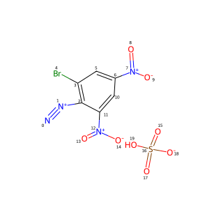 N#[N+]c1c(Br)cc([N+](=O)[O-])cc1[N+](=O)[O-].O=S(=O)([O-])O